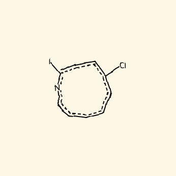 Clc1cccccnc(I)cc1